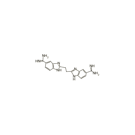 N=C(N)c1ccc2[nH]c(CCc3nc4cc(C(=N)N)ccc4[nH]3)nc2c1